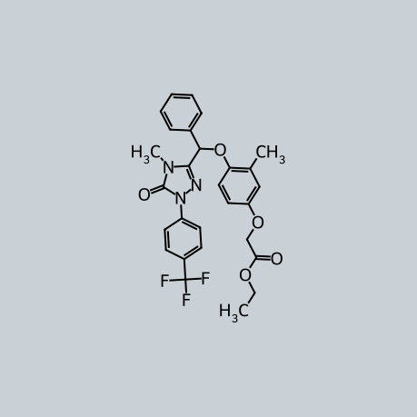 CCOC(=O)COc1ccc(OC(c2ccccc2)c2nn(-c3ccc(C(F)(F)F)cc3)c(=O)n2C)c(C)c1